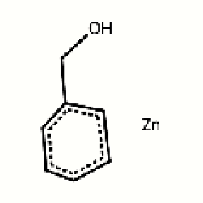 OCc1ccccc1.[Zn]